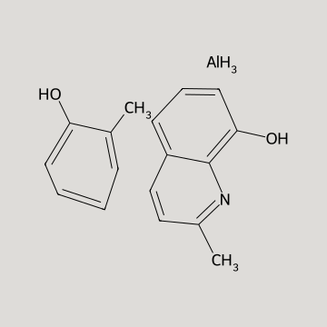 Cc1ccc2cccc(O)c2n1.Cc1ccccc1O.[AlH3]